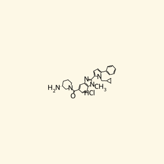 Cl.Cn1c(-c2ccc(-c3ccccc3)n2CC2CC2)nc2cc(C(=O)N3CCC[C@@H](N)C3)ccc21